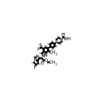 CCOC(=O)C(c1ncn2c1C[C@@H](F)C2)n1cc2c(C(F)F)cc(-c3ccc(N4CCN(C(=O)O)CC4)cc3)c(C)c2n1